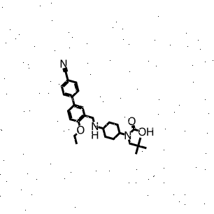 CCOc1ccc(-c2ccc(C#N)cc2)cc1CNC1CCC(N(CC(C)(C)C)C(=O)O)CC1